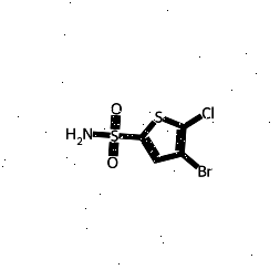 NS(=O)(=O)c1cc(Br)c(Cl)s1